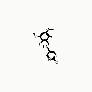 COc1cc(OC)c(F)c(CNc2cnc(Cl)nc2)c1F